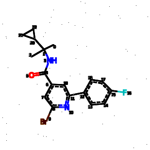 CC(C)(NC(=O)c1cc(Br)nc(-c2ccc(F)cc2)c1)C1CC1